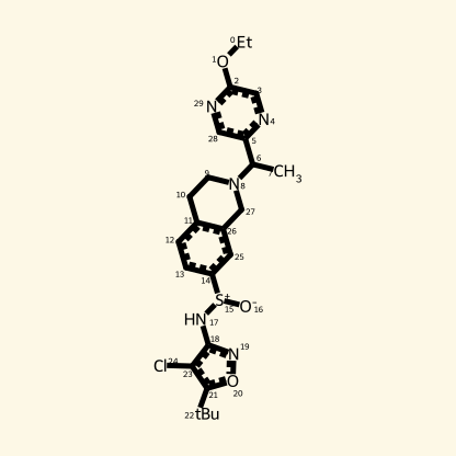 CCOc1cnc(C(C)N2CCc3ccc([S+]([O-])Nc4noc(C(C)(C)C)c4Cl)cc3C2)cn1